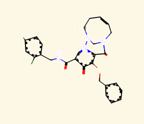 C[C@@H]1CC=CCN2CN1n1cc(C(=O)NCc3ccc(F)cc3F)c(=O)c(OCc3ccccc3)c1C2=O